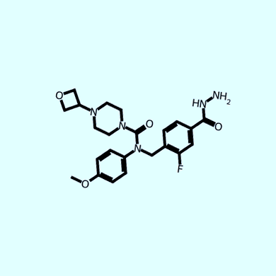 COc1ccc(N(Cc2ccc(C(=O)NN)cc2F)C(=O)N2CCN(C3COC3)CC2)cc1